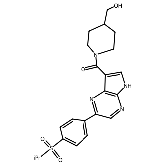 CC(C)S(=O)(=O)c1ccc(-c2cnc3[nH]cc(C(=O)N4CCC(CO)CC4)c3n2)cc1